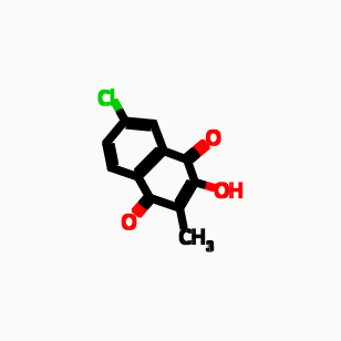 CC1=C(O)C(=O)c2cc(Cl)ccc2C1=O